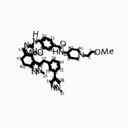 COCCN1CCC(NC(=O)c2ccc(Nc3ncc4c(n3)-c3c(nn(C)c3Cc3cccc(-c5cnn(C)c5)c3)CC4)c(OC)c2)CC1